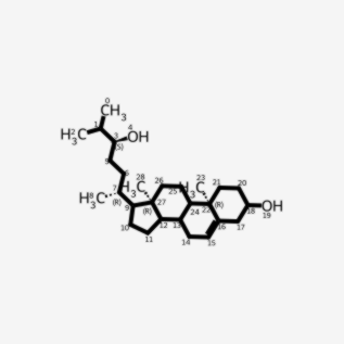 CC(C)[C@@H](O)CC[C@@H](C)C1CCC2C3CC=C4CC(O)CC[C@]4(C)C3CC[C@@]21C